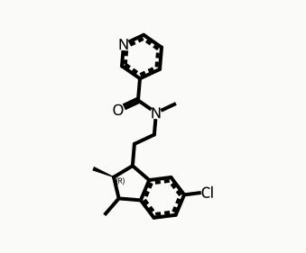 CC1c2ccc(Cl)cc2C(CCN(C)C(=O)c2cccnc2)[C@@H]1C